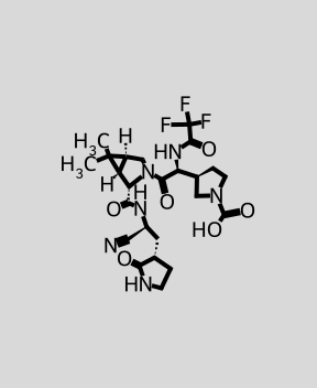 CC1(C)[C@@H]2[C@@H](C(=O)N[C@H](C#N)C[C@@H]3CCNC3=O)N(C(=O)[C@@H](NC(=O)C(F)(F)F)[C@H]3CCN(C(=O)O)C3)C[C@@H]21